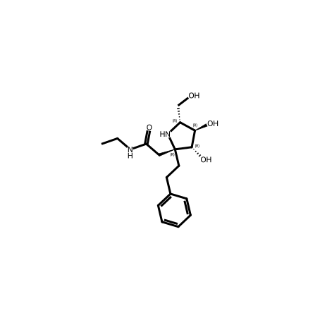 CCNC(=O)C[C@@]1(CCc2ccccc2)N[C@H](CO)[C@@H](O)[C@@H]1O